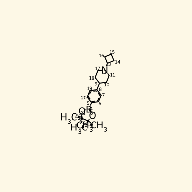 CC1(C)OB(c2ccc(C3CCN(C4CCC4)CC3)cc2)OC1(C)C